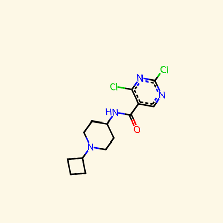 O=C(NC1CCN(C2CCC2)CC1)c1cnc(Cl)nc1Cl